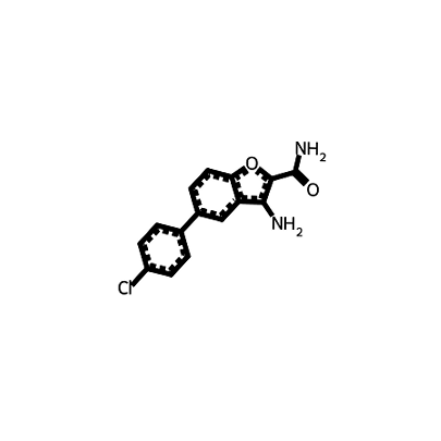 NC(=O)c1oc2ccc(-c3ccc(Cl)cc3)cc2c1N